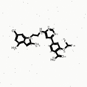 Cc1cc(Cl)cc2c1cc(C)n2CCNc1cc(-c2ccc(C(=O)O)c(OC(F)F)c2)ncn1